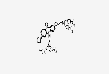 CCN(CC)CCOc1ccc2c(c1)c(=O)c1ccc(Cl)cc1n2CCN(CC)CC